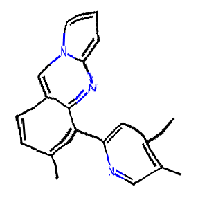 Cc1cnc(-c2c(C)ccc3cn4cccc4nc23)cc1C